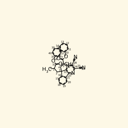 CC(CC1(CC(C)C(=O)Oc2ccccc2)c2ccccc2-c2nc(C#N)c(C#N)nc21)C(=O)Oc1ccccc1